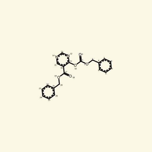 O=C(OCc1ccccc1)Oc1ncncc1C(=O)OCc1ccccc1